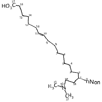 CCCCCCCCCC(CCCCCCCCC=CCCCCCC(=O)O)CCN(C)C